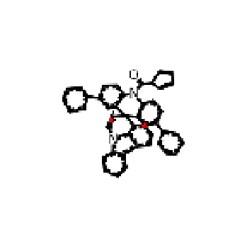 O=C(C1C=CC=C1)N1c2ccc(-c3ccccc3)cc2C2(c3cc(-c4ccccc4)ccc31)c1ccccc1-n1c3ccccc3c3cccc2c31